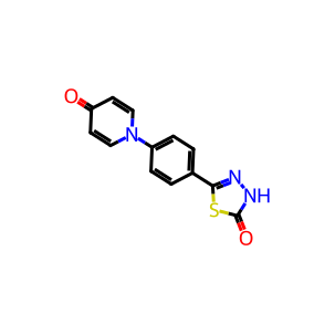 O=c1ccn(-c2ccc(-c3n[nH]c(=O)s3)cc2)cc1